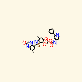 COc1cnc2c(-c3nc4c(C)cc5c(c4s3)OCC(OC(=O)N(C)c3ccnc(-c4ccccc4)c3)O5)cc(C)cc2n1